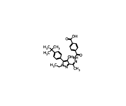 CCn1nc(C(C)=NNC(=O)c2ccc(C(=O)O)cc2)c(O)c1-c1ccc(C(C)(C)C)cc1